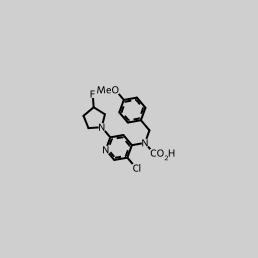 COc1ccc(CN(C(=O)O)c2cc(N3CCC(F)C3)ncc2Cl)cc1